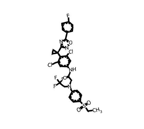 CCS(=O)(=O)c1ccc(N(CC(=O)Nc2cc(Cl)c(C3(c4noc(-c5ccc(F)cc5)n4)CC3)c(Cl)c2)CC(F)(F)F)cc1